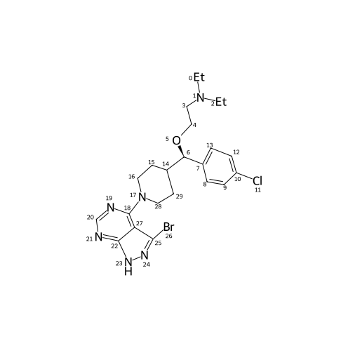 CCN(CC)CCO[C@@H](c1ccc(Cl)cc1)C1CCN(c2ncnc3[nH]nc(Br)c23)CC1